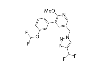 COc1ncc(Cn2cc(C(F)F)nn2)cc1-c1cccc(OC(F)F)c1